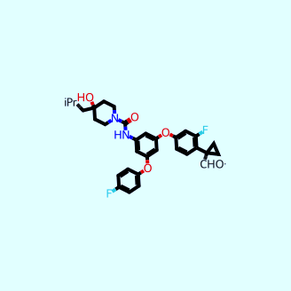 CC(C)CC1(O)CCN(C(=O)Nc2cc(Oc3ccc(F)cc3)cc(Oc3ccc(C4([C]=O)CC4)c(F)c3)c2)CC1